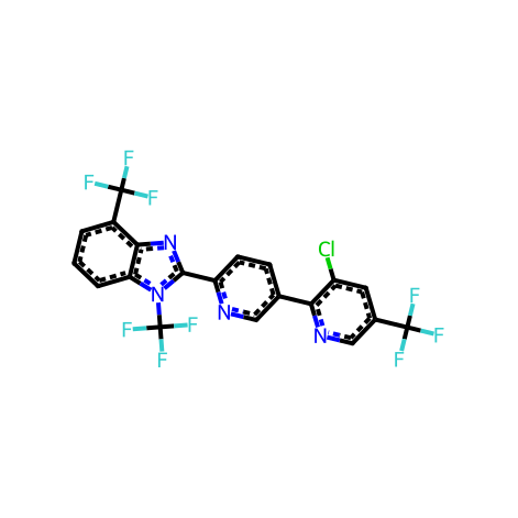 FC(F)(F)c1cnc(-c2ccc(-c3nc4c(C(F)(F)F)cccc4n3C(F)(F)F)nc2)c(Cl)c1